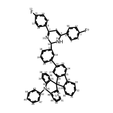 Fc1ccc(C2=CC(c3ccc(F)cc3)=NC(c3cccc(-c4ccc5c(c4)C4(c6ccccc6-5)c5ccccc5N(c5ccccc5)c5ccccc54)c3)N2)cc1